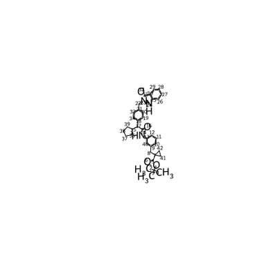 CC(C)(C)OC(=O)C1(Cc2cccc(NC(=O)C(c3ccc(Cn4[nH]c5ccccc5c4=O)cc3)C3CCCC3)c2)CC1